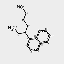 CCC(CCCO)c1cccc2ccccc12